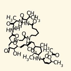 CC(=O)O[C@@H](C)/C=C\C(=O)N[C@@H]1C[C@H](C)[C@H](C/C=C(C)/C=C/[C@H]2O[C@H](CC(=O)NNC(=O)[C@H](C)NC(=O)C(NC(=O)CCCCCNC(=O)CBr)C(C)C)C[C@@]3(CO3)[C@@H]2O)O[C@@H]1C